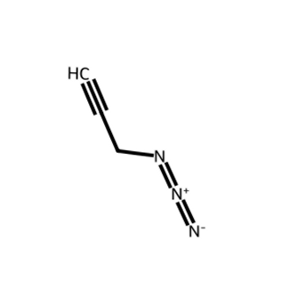 C#CCN=[N+]=[N-]